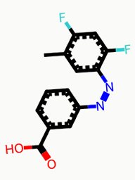 Cc1cc(/N=N\c2cccc(C(=O)O)c2)c(F)cc1F